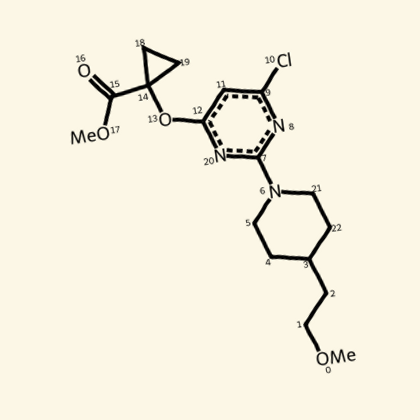 COCCC1CCN(c2nc(Cl)cc(OC3(C(=O)OC)CC3)n2)CC1